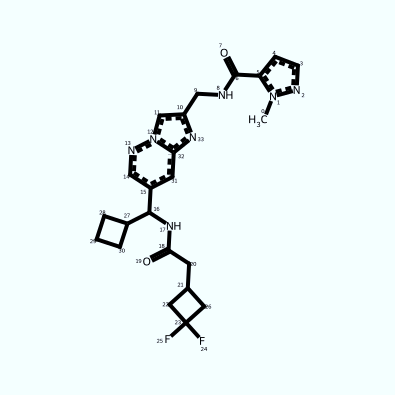 Cn1nccc1C(=O)NCc1cn2ncc(C(NC(=O)CC3CC(F)(F)C3)C3CCC3)cc2n1